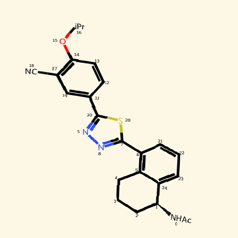 CC(=O)N[C@H]1CCCc2c(-c3nnc(-c4ccc(OC(C)C)c(C#N)c4)s3)cccc21